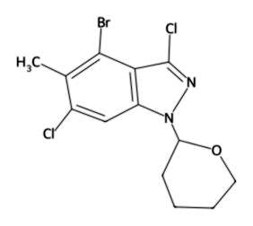 Cc1c(Cl)cc2c(c(Cl)nn2C2CCCCO2)c1Br